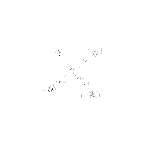 CC(=O)N[C@H]1[C@H](OCCCCC(=O)NCCCNC(=O)CCOCC(COCCC(=O)NCCCNC(=O)CCCCO[C@@H]2O[C@H](CO)[C@H](O)[C@H](O)[C@H]2NC(C)=O)(COCCC(=O)NCCCNC(=O)CCCCO[C@@H]2O[C@H](CO)[C@H](O)[C@H](O)[C@H]2NC(C)=O)NC(=O)CCCCCCCCCCC(=O)Oc2c(F)c(F)c(F)c(F)c2F)O[C@H](CO)[C@H](O)[C@@H]1O